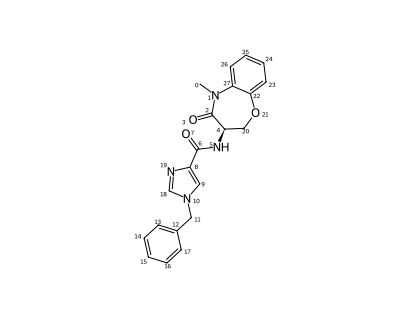 CN1C(=O)[C@H](NC(=O)c2cn(Cc3ccccc3)cn2)COc2ccccc21